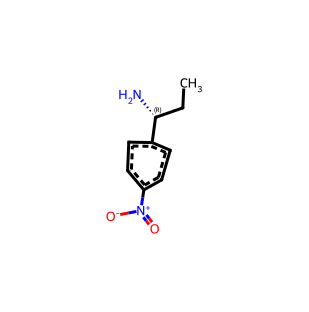 CC[C@@H](N)c1ccc([N+](=O)[O-])cc1